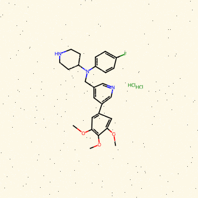 COc1cc(-c2cncc(CN(c3ccc(F)cc3)C3CCNCC3)c2)cc(OC)c1OC.Cl.Cl